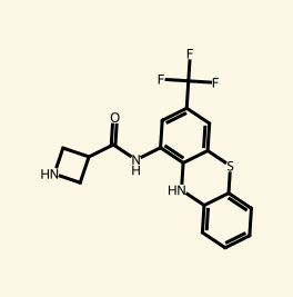 O=C(Nc1cc(C(F)(F)F)cc2c1Nc1ccccc1S2)C1CNC1